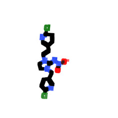 O=[N+]([O-])N=C1N(C=Cc2ccc(Cl)nc2)CCN1Cc1ccc(Cl)nc1